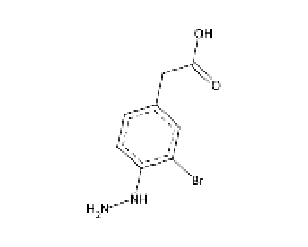 NNc1ccc(CC(=O)O)cc1Br